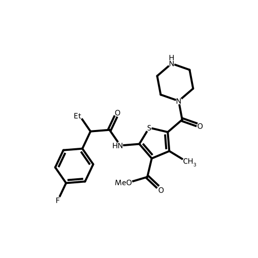 CCC(C(=O)Nc1sc(C(=O)N2CCNCC2)c(C)c1C(=O)OC)c1ccc(F)cc1